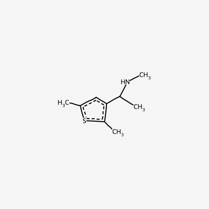 CNC(C)c1cc(C)sc1C